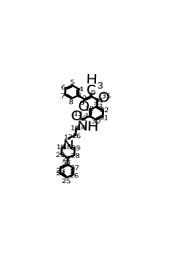 Cc1c(-c2ccccc2)oc2c(C(=O)NCCCN3CCC(c4ccccc4)CC3)cccc2c1=O